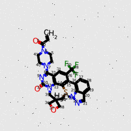 C=CC(=O)N1CCN(c2nc(=O)n3c4c(c(-c5cccc6cnn(C)c56)c(C(F)(F)F)cc24)SCC2(COC2)C3)CC1